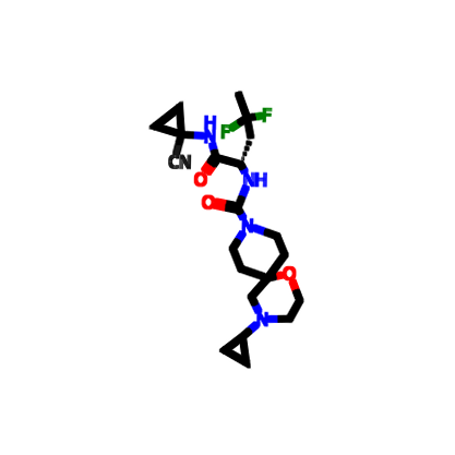 CC(F)(F)C[C@H](NC(=O)N1CCC2(CC1)CN(C1CC1)CCO2)C(=O)NC1(C#N)CC1